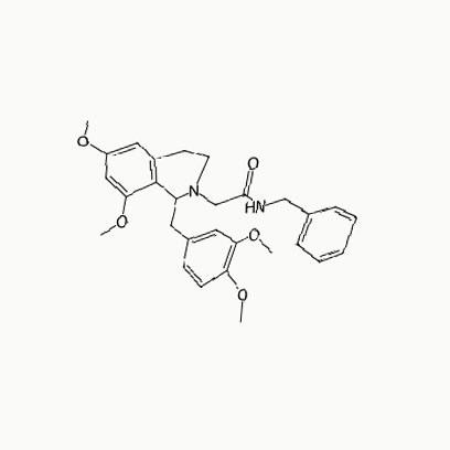 COc1cc2c(c(OC)c1)C(Cc1ccc(OC)c(OC)c1)N(CC(=O)NCc1ccccc1)CC2